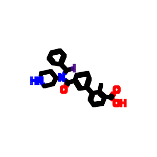 Cc1c(C(=O)O)cccc1-c1cccc(C(=O)N(C2CCNCC2)C(I)c2ccccc2)c1